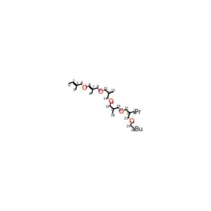 C/C=C(\C)CO/C=C(\C)COCC(C)COCC(C)COCC(COCC(C)CC)C(C)C